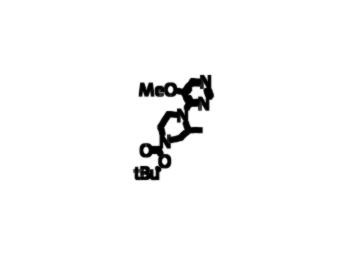 COc1cncnc1N1CCN(C(=O)OC(C)(C)C)CC1C